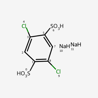 O=S(=O)(O)c1cc(Cl)c(S(=O)(=O)O)cc1Cl.[NaH].[NaH]